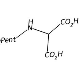 CCCCCNC(C(=O)O)C(=O)O